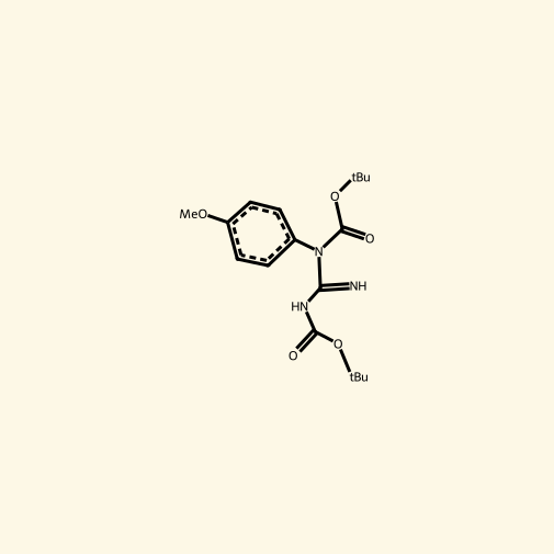 COc1ccc(N(C(=N)NC(=O)OC(C)(C)C)C(=O)OC(C)(C)C)cc1